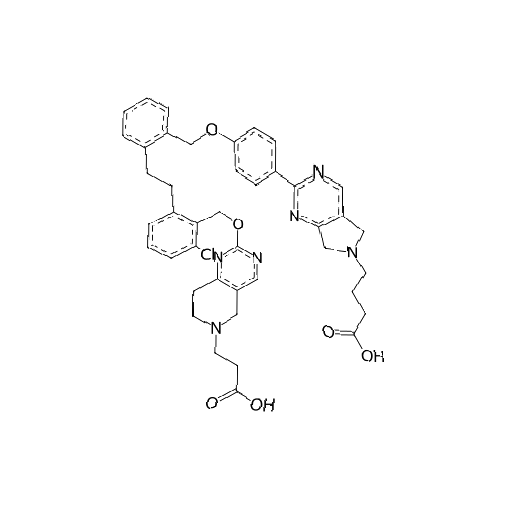 O=C(O)CCCN1Cc2cnc(-c3ccc(OCc4ccccc4CCc4cccc(Cl)c4COc4ncc5c(n4)CCN(CCC(=O)O)C5)cc3)nc2C1